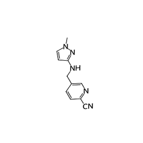 Cn1ccc(NCc2ccc(C#N)nc2)n1